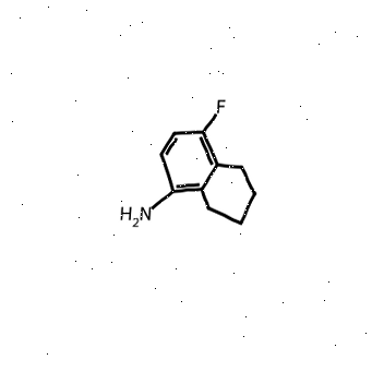 Nc1ccc(F)c2c1CCCC2